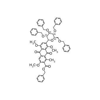 COc1cc2c(c(C)c1C(=O)OCc1ccccc1)C(=O)c1c(OC)c(C3O[C@H](COCc4ccccc4)[C@@H](OCc4ccccc4)[C@H](OCc4ccccc4)[C@H]3OCc3ccccc3)cc(OC)c1C2=O